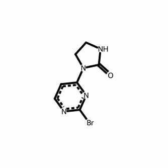 O=C1NCCN1c1ccnc(Br)n1